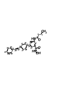 C=CCC(=O)Nc1cc(C(=O)NO)cc(-c2ccc(C#Cc3cccnc3)cc2)n1